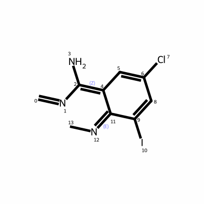 C=N/C(N)=C1/C=C(Cl)C=C(I)/C1=N/C